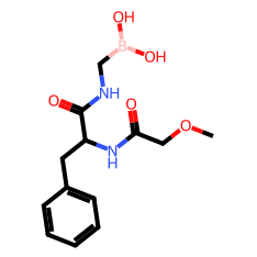 COCC(=O)NC(Cc1ccccc1)C(=O)NCB(O)O